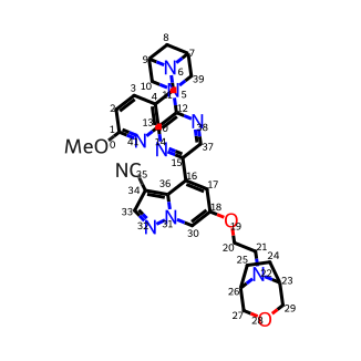 COc1ccc(CN2C3CC2CN(c2cnc(-c4cc(OCCN5C6CCC5COC6)cn5ncc(C#N)c45)cn2)C3)cn1